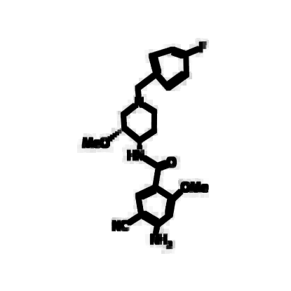 COc1cc(N)c(C#N)cc1C(=O)N[C@H]1CCN(Cc2ccc(F)cc2)C[C@H]1OC